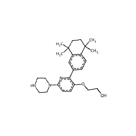 CC1(C)CCC(C)(C)c2cc(-c3nc(N4CCNCC4)ccc3OCCO)ccc21